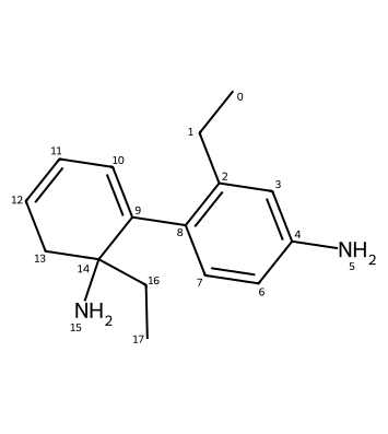 CCc1cc(N)ccc1C1=CC=CCC1(N)CC